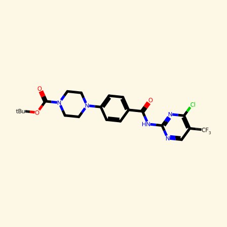 CC(C)(C)OC(=O)N1CCN(c2ccc(C(=O)Nc3ncc(C(F)(F)F)c(Cl)n3)cc2)CC1